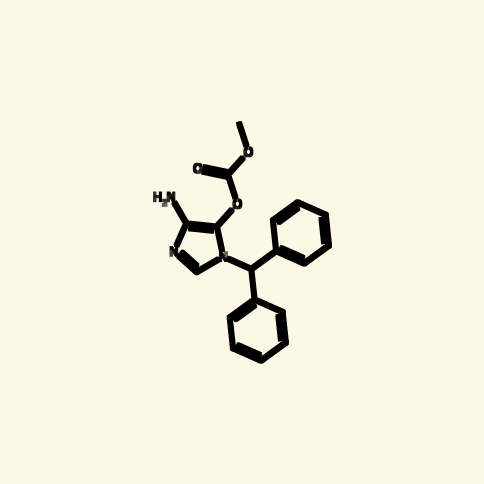 COC(=O)Oc1c(N)ncn1C(c1ccccc1)c1ccccc1